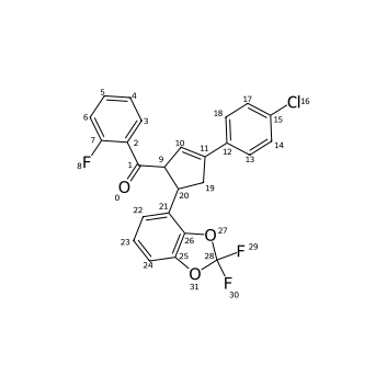 O=C(c1ccccc1F)C1C=C(c2ccc(Cl)cc2)CC1c1cccc2c1OC(F)(F)O2